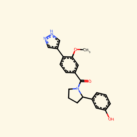 COc1cc(C(=O)N2CCCC2c2cccc(O)c2)ccc1-c1cn[nH]c1